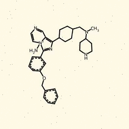 CN(CC1CCC(C2=C3C=NC=C[N+]3(N)C(c3cccc(OCc4ccccc4)c3)=N2)CC1)C1CCNCC1